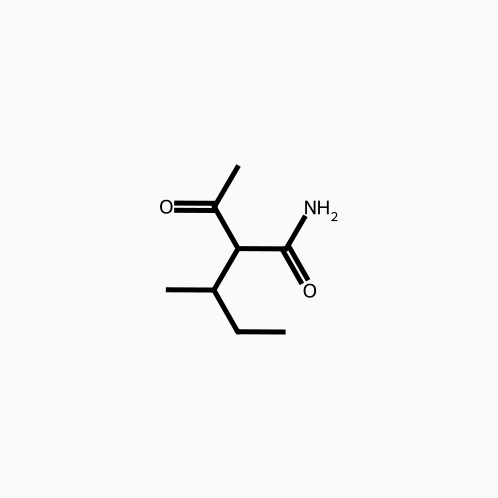 CCC(C)C(C(C)=O)C(N)=O